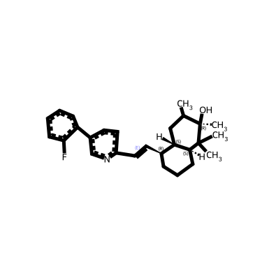 CC1C[C@H]2[C@H](/C=C/c3ccc(-c4ccccc4F)cn3)CCC[C@@H]2C(C)(C)[C@]1(C)O